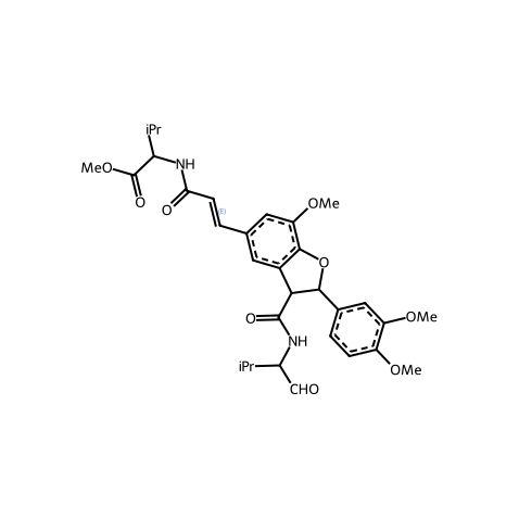 COC(=O)C(NC(=O)/C=C/c1cc(OC)c2c(c1)C(C(=O)NC(C=O)C(C)C)C(c1ccc(OC)c(OC)c1)O2)C(C)C